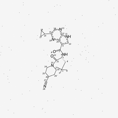 CC(C)(C)C[C@@H](NC(=O)c1c[nH]c2ncc(C3CC3)nc12)C(=O)N1CCC(C#N)CC1